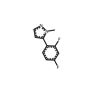 Cn1n[c]cc1-c1ccc(F)cc1F